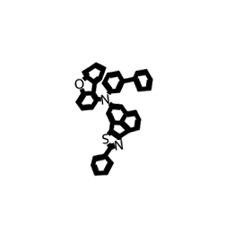 c1ccc(-c2cccc(N(c3cc4c5c(cccc5c3)-c3nc(-c5ccccc5)sc3-4)c3cccc4oc5ccccc5c34)c2)cc1